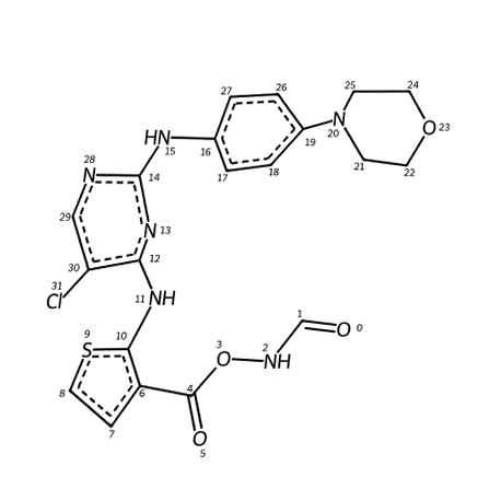 O=CNOC(=O)c1ccsc1Nc1nc(Nc2ccc(N3CCOCC3)cc2)ncc1Cl